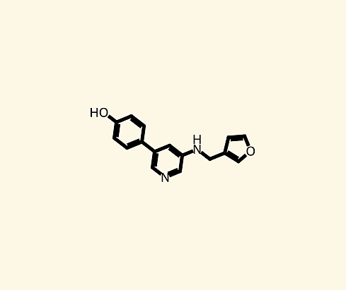 Oc1ccc(-c2cncc(NCc3ccoc3)c2)cc1